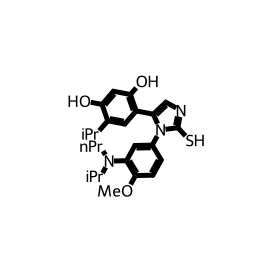 CCCN(c1cc(-n2c(-c3cc(C(C)C)c(O)cc3O)cnc2S)ccc1OC)C(C)C